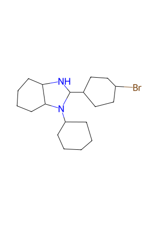 BrC1CCC(C2NC3CCCCC3N2C2CCCCC2)CC1